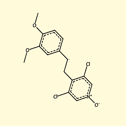 COc1ccc([CH]Cc2c(Cl)c[n+]([O-])cc2Cl)cc1OC